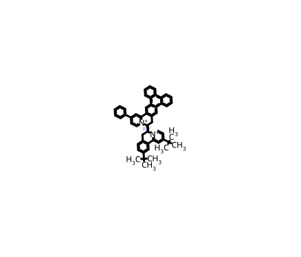 CC(C)(C)c1ccc2c(c1)-c1cc(C(C)(C)C)cc[n+]1/C(=C1\Cc3cc4c5ccccc5c5ccccc5c4cc3-c3cc(-c4ccccc4)cc[n+]31)C2